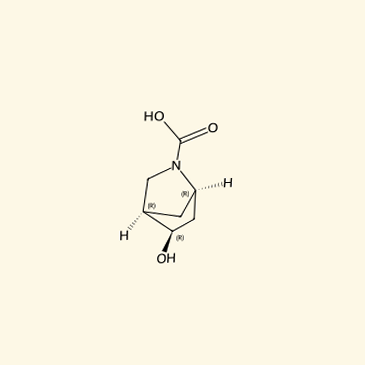 O=C(O)N1C[C@H]2C[C@@H]1C[C@H]2O